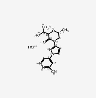 C[C@@H]1CN(c2ccn(-c3cnnc(C#N)c3)n2)C(=O)[C@@H]([C@@H](O)C(=O)O)O1.Cl